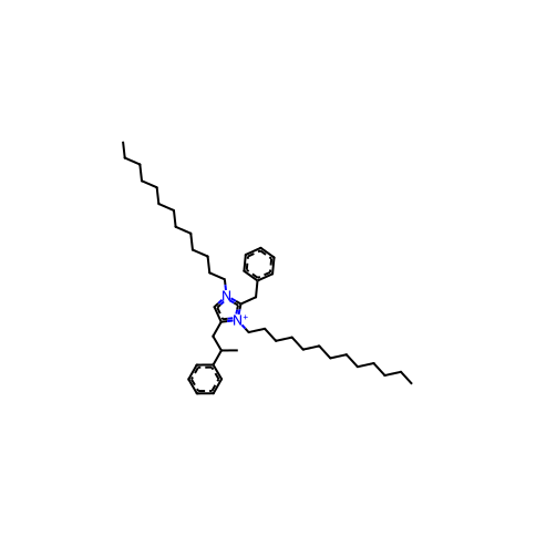 CCCCCCCCCCCCCn1cc(CC(C)c2ccccc2)[n+](CCCCCCCCCCCCC)c1Cc1ccccc1